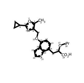 Cc1oc(C2CC2)nc1COc1ccc(CC(OC(C)C)C(=O)O)c2sccc12